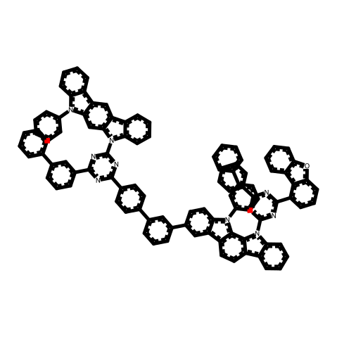 c1ccc(-c2cccc(-c3nc(-c4ccc(-c5cccc(-c6ccc7c(c6)c6ccc8c9ccccc9n(-c9nc(-c%10ccccc%10)nc(-c%10cccc%11oc%12ccccc%12c%10%11)n9)c8c6n7-c6cccc(-c7ccccc7)c6)c5)cc4)nc(-n4c5ccccc5c5cc6c7ccccc7n(-c7ccccc7)c6cc54)n3)c2)cc1